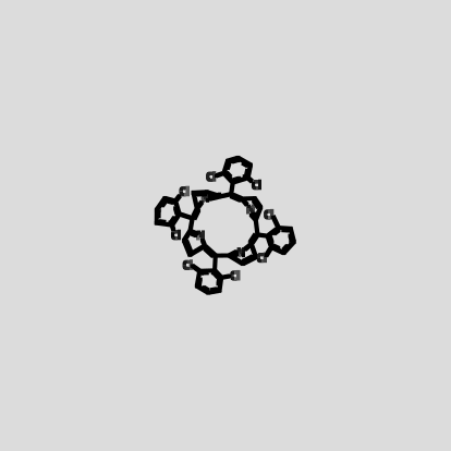 Clc1cccc(Cl)c1C1=C2C=CC(=N2)C(c2c(Cl)cccc2Cl)=C2C=CC(=N2)C(c2c(Cl)cccc2Cl)=C2C=CC(=N2)C(c2c(Cl)cccc2Cl)=C2C=CC1=N2